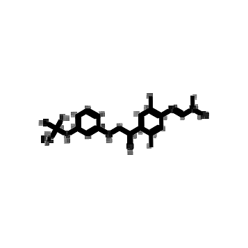 CCN(C)C=Nc1cc(C)c(C(=O)COc2cccc(SC(F)(F)C(F)(F)F)c2)cc1C